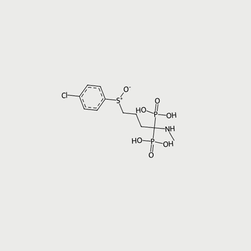 CNC(CCC[S+]([O-])c1ccc(Cl)cc1)(P(=O)(O)O)P(=O)(O)O